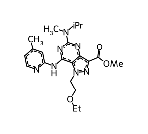 CCOCCn1nc(C(=O)OC)c2nc(N(C)C(C)C)nc(Nc3cc(C)ccn3)c21